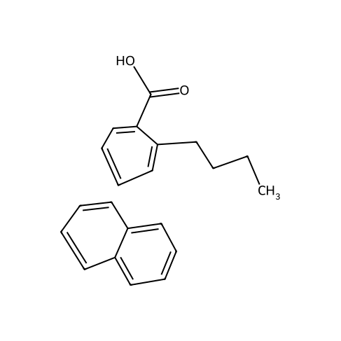 CCCCc1ccccc1C(=O)O.c1ccc2ccccc2c1